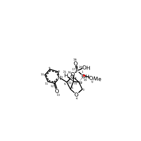 COC[C@@]12COC(C(n3ccccc3=O)O1)[C@@H]2OP(=O)(O)O